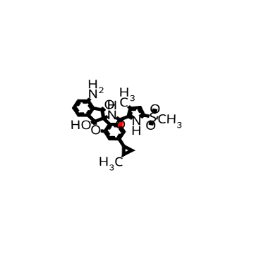 Cc1cc(S(C)(=O)=O)[nH]c1C(=O)NC12C(=O)c3c(N)cccc3C1(O)Oc1cc(C3C[C@H]3C)ccc12